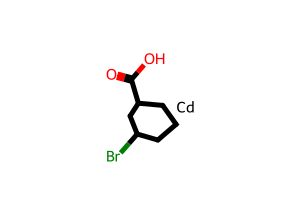 O=C(O)C1CCCC(Br)C1.[Cd]